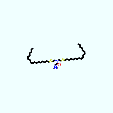 CCCCC/C=C\C/C=C\CCCCCCCCSCCN(CCSCCCCCCCC/C=C\C/C=C\CCCCC)C(=O)CN(C)C